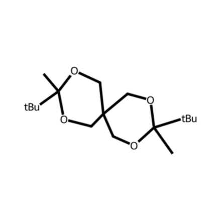 CC(C)(C)C1(C)OCC2(CO1)COC(C)(C(C)(C)C)OC2